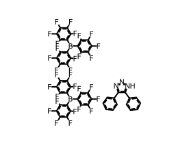 Fc1c(F)c(F)c(B(c2c(F)c(F)c(F)c(F)c2F)c2c(F)c(F)c(F)c(F)c2F)c(F)c1F.Fc1c(F)c(F)c(B(c2c(F)c(F)c(F)c(F)c2F)c2c(F)c(F)c(F)c(F)c2F)c(F)c1F.c1ccc(-c2nn[nH]c2-c2ccccc2)cc1